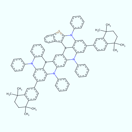 CC1(C)CCC(C)(C)c2cc(-c3cc4c5c(c3)N(c3ccccc3)c3cc6c(cc3B5c3ccccc3N4c3ccccc3)B3c4c(cc(-c5ccc7c(c5)C(C)(C)CCC7(C)C)cc4N(c4ccccc4)c4sc5ccccc5c43)N6c3ccccc3)ccc21